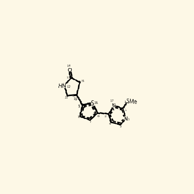 CSc1nccc(-c2ccc(C3CNC(=O)C3)s2)n1